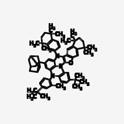 Cc1cc(C(C)(C)C)ccc1N1c2ccc(C(C)(C)C)cc2B2c3oc4cc5c(cc4c3N(c3ccc4c(c3)C(C)(C)CCC4(C)C)c3cc(C46CC7CC(CC(C7)C4)C6)cc1c32)C(C)(C)CCC5(C)C